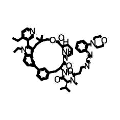 CCc1ccncc1-c1c2c3cc(ccc3n1CC)-c1cccc(c1)C[C@H](NC(=O)[C@H](C(C)C)N(C)C(=O)CCN=C=Nc1ccccc1N1CCOCC1)C(=O)N1CCC[C@H](N1)C(=O)OCC(C)(C)C2